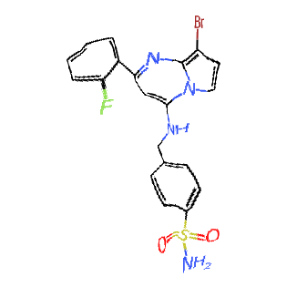 NS(=O)(=O)c1ccc(CNc2cc(-c3ccccc3F)nc3c(Br)ccn23)cc1